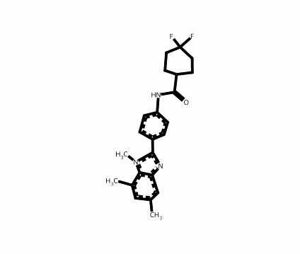 Cc1cc(C)c2c(c1)nc(-c1ccc(NC(=O)C3CCC(F)(F)CC3)cc1)n2C